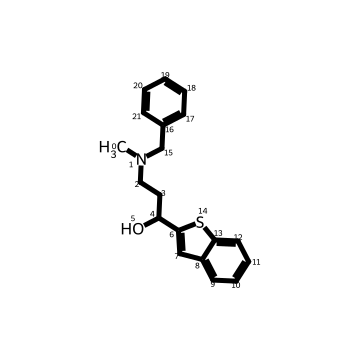 CN(CCC(O)c1cc2ccccc2s1)Cc1ccccc1